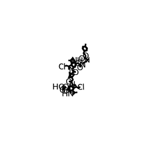 Cc1ccc(COC(=O)N(C)CCN(C)C(=O)Oc2cc3c(c4c(C)c[nH]c24)C(CCl)CN3C(=O)C23CC4(CC(=O)N5CC(CCl)c6c5cc(OP(=O)(O)O)c5[nH]cc(C)c65)CC42C3)cc1